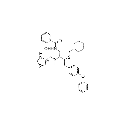 O=C(NCC(NC[C@@H]1CSCN1)C(Cc1ccc(Oc2ccccc2)cc1)SCC1CCCCC1)c1ccccc1O